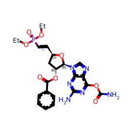 CCOP(=O)(/C=C/[C@@H]1C[C@@H](OC(=O)c2ccccc2)[C@H](n2cnc3c(OC(N)=O)nc(N)nc32)O1)OCC